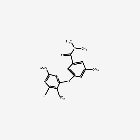 COc1cc(Oc2nc(SC)nc(Cl)c2[N+](=O)[O-])cc(C(=O)N(C)C)c1